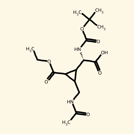 CCOC(=O)C1C(CNC(C)=O)C1[C@H](NC(=O)OC(C)(C)C)C(=O)O